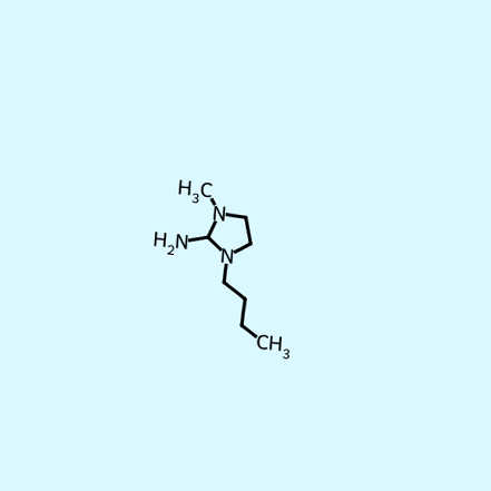 CCCCN1CCN(C)C1N